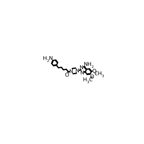 COc1cc2nc(N3CCN(C(=O)CCCCc4ccc(N)cc4)CC3)nc(N)c2cc1OC